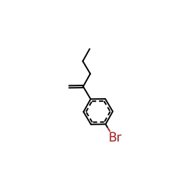 C=C(CCC)c1ccc(Br)cc1